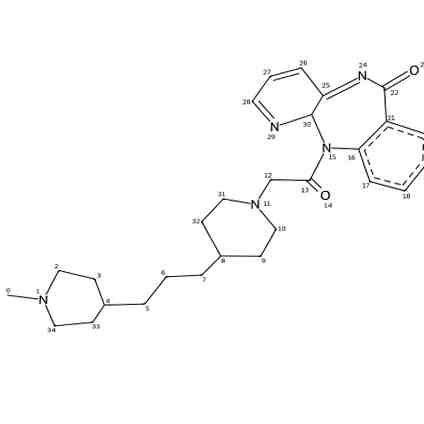 CN1CCC(CCCC2CCN(CC(=O)N3c4ccccc4C(=O)N=C4C=CC=NC43)CC2)CC1